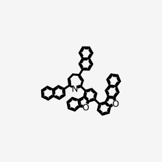 C1=C(c2ccc3ccccc3c2)CC=C(c2ccc3ccccc3c2)N=C1c1ccc(-c2cccc3oc4cc5ccccc5cc4c23)c2oc3ccccc3c12